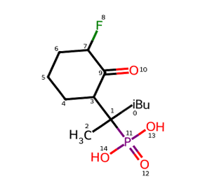 CCC(C)C(C)(C1CCCC(F)C1=O)P(=O)(O)O